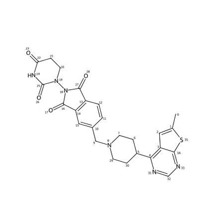 Cc1cc2c(C3CCN(Cc4ccc5c(c4)C(=O)N(N4CCC(=O)NC4=O)C5=O)CC3)ncnc2s1